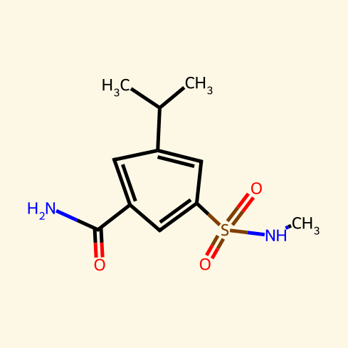 CNS(=O)(=O)c1cc(C(N)=O)cc(C(C)C)c1